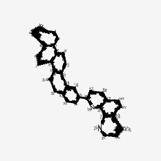 c1ccc2c(c1)ccc1c2ccc2c3cc(-c4ccc5ccc6cccnc6c5n4)ccc3ccc21